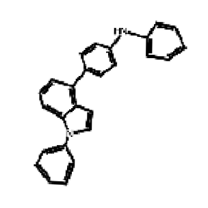 c1ccc(Nc2ccc(-c3cccc4c3ccn4-c3ccccc3)cc2)cc1